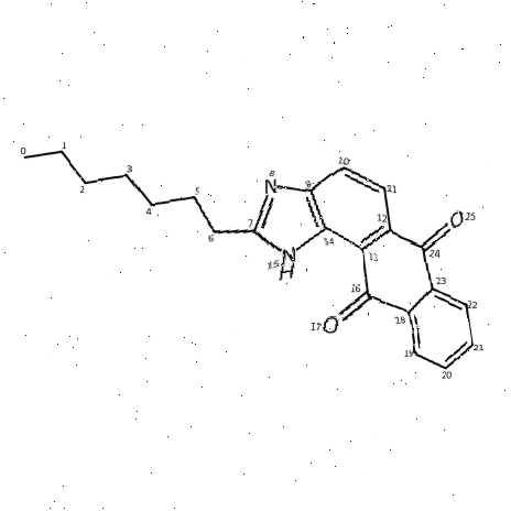 CCCCCCCc1nc2ccc3c(c2[nH]1)C(=O)c1ccccc1C3=O